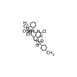 Cc1ccc(S(=O)(=O)n2ccc3c(Nc4ccccc4N(C)S(C)(=O)=O)nc(Cl)nc32)cc1